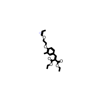 C/C=C\OCCOc1ccc(C=C(C(=O)OCC)C(=O)OCC)cc1C